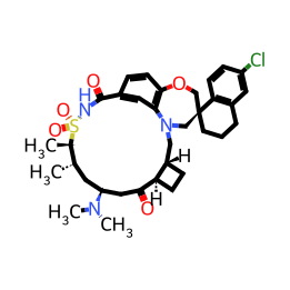 C[C@@H]1[C@@H](C)C[C@H](N(C)C)CC(=O)[C@@H]2CC[C@H]2CN2C[C@@]3(CCCc4cc(Cl)ccc43)COc3ccc(cc32)C(=O)NS1(=O)=O